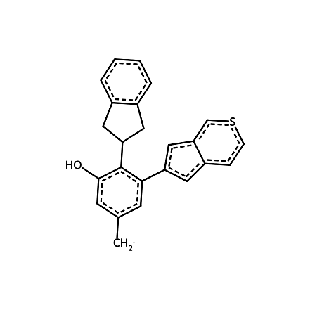 [CH2]c1cc(O)c(C2Cc3ccccc3C2)c(-c2cc3ccscc-3c2)c1